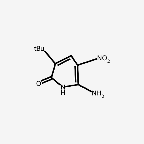 CC(C)(C)c1cc([N+](=O)[O-])c(N)[nH]c1=O